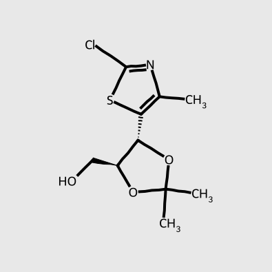 Cc1nc(Cl)sc1[C@@H]1OC(C)(C)O[C@H]1CO